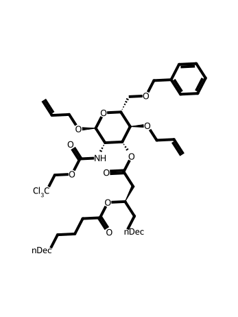 C=CCO[C@H]1O[C@H](COCc2ccccc2)[C@@H](OCC=C)[C@H](OC(=O)C[C@@H](CCCCCCCCCCC)OC(=O)CCCCCCCCCCCCC)[C@@H]1NC(=O)OCC(Cl)(Cl)Cl